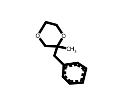 CC1(Cc2ccccc2)COCCO1